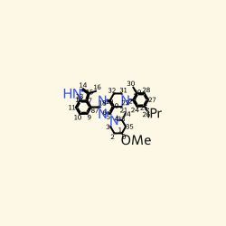 CO[C@H]1CCN(c2nc(-c3cccc4[nH]cc(C)c34)nc3c2CN(c2cc(C(C)C)ccc2C)CC3)[C@@H](C)C1